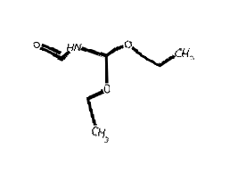 CCOC(N[C]=O)OCC